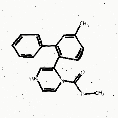 COC(=O)N1C=CNC=C1c1ccc(C)cc1-c1ccccc1